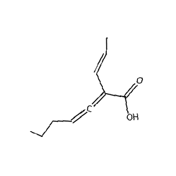 CC=CC(=C=CCCC)C(=O)O